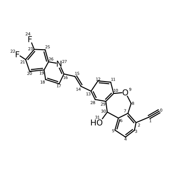 C#Cc1cccc2c1COc1ccc(C=Cc3ccc4cc(F)c(F)cc4n3)cc1C2O